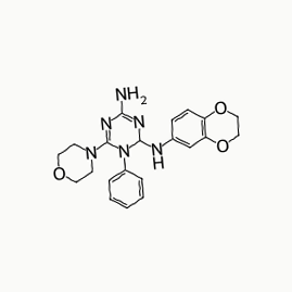 NC1=NC(Nc2ccc3c(c2)OCCO3)N(c2ccccc2)C(N2CCOCC2)=N1